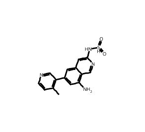 Cc1ccncc1-c1cc(N)c2cnc(N[SH](=O)=O)cc2c1